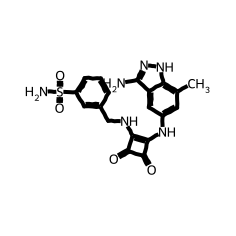 Cc1cc(Nc2c(NCc3cccc(S(N)(=O)=O)c3)c(=O)c2=O)cc2c(N)n[nH]c12